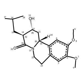 COc1cc2c(cc1OC)[C@H]1C[C@@H](O)[C@H](CC(C)C)C(=O)N1CC2